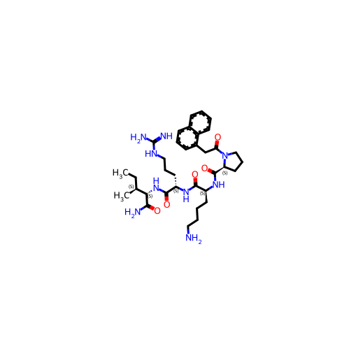 CC[C@H](C)[C@H](NC(=O)[C@H](CCCNC(=N)N)NC(=O)[C@H](CCCCN)NC(=O)[C@@H]1CCCN1C(=O)Cc1cccc2ccccc12)C(N)=O